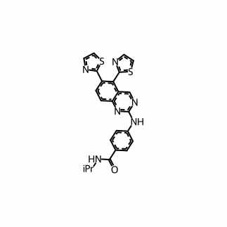 CC(C)NC(=O)c1ccc(Nc2ncc3c(-c4nccs4)c(-c4nccs4)ccc3n2)cc1